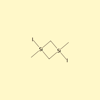 C[Si]1(I)C[Si](C)(I)C1